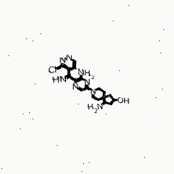 N=C(c1ccnnc1Cl)c1ncc(N2CCC3(CC2)CC(O)CC3N)nc1N